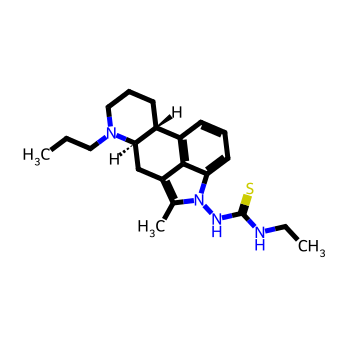 CCCN1CCC[C@@H]2c3cccc4c3c(c(C)n4NC(=S)NCC)C[C@H]21